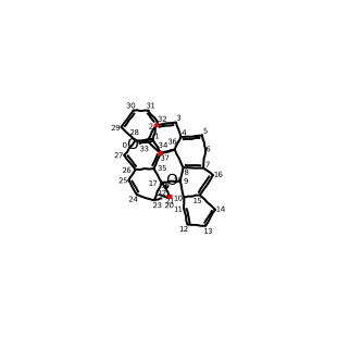 O=C1C=CC2=CCC3=C4C(C5C=CC=CC5=C3)C35C(=O)C=CC=C3C=CC3=CC6C=CC=CC6C(=C35)C24C1